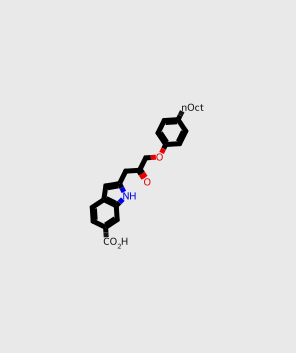 CCCCCCCCc1ccc(OCC(=O)Cc2cc3ccc(C(=O)O)cc3[nH]2)cc1